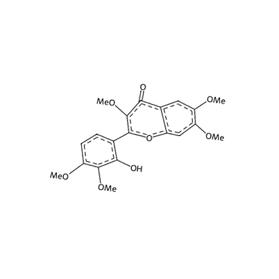 COc1cc2oc(-c3ccc(OC)c(OC)c3O)c(OC)c(=O)c2cc1OC